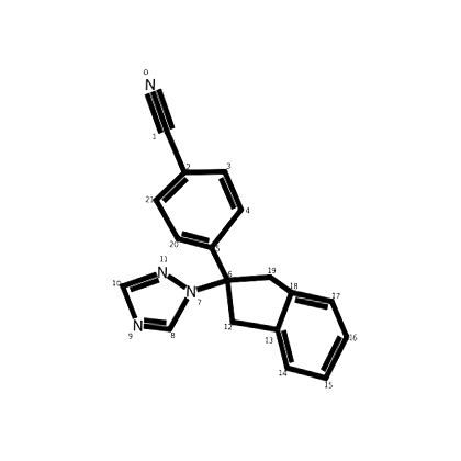 N#Cc1ccc(C2(n3cncn3)Cc3ccccc3C2)cc1